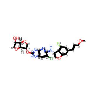 COC/C=C/c1cc(F)c2c(c1)OC[C@@H]2Nc1nc2nc(O[C@@H]3CO[C@H]4[C@@H]3OC[C@H]4O)[nH]c2cc1Cl